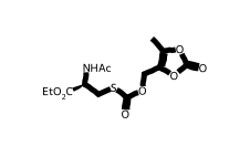 CCOC(=O)[C@H](CSC(=O)OCc1oc(=O)oc1C)NC(C)=O